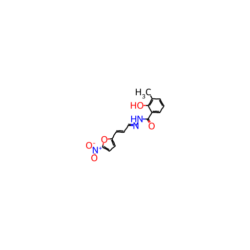 Cc1cccc(C(=O)NN=CC=Cc2ccc([N+](=O)[O-])o2)c1O